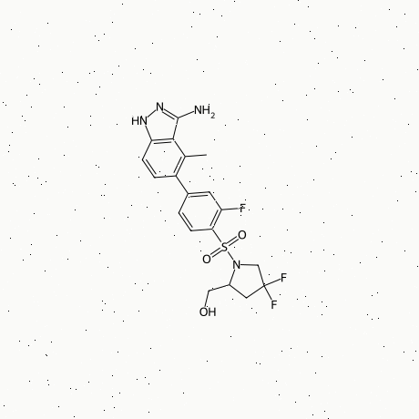 Cc1c(-c2ccc(S(=O)(=O)N3CC(F)(F)CC3CO)c(F)c2)ccc2[nH]nc(N)c12